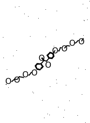 COCCOCCOCCOc1ccc(C(=O)C(=O)c2ccc(OCCOCCOCCOC)cc2)cc1